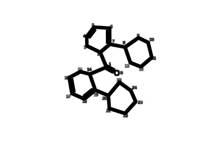 O=C(C1CC=CC=C1C1CCCCC1)C1CC=CC=C1C1CCCCC1